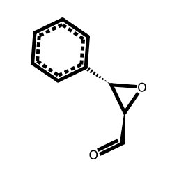 O=C[C@@H]1O[C@H]1c1ccccc1